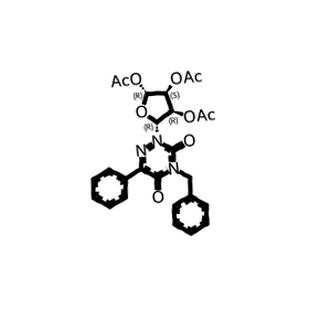 CC(=O)O[C@H]1O[C@@H](n2nc(-c3ccccc3)c(=O)n(Cc3ccccc3)c2=O)[C@H](OC(C)=O)[C@@H]1OC(C)=O